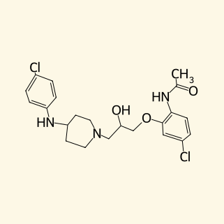 CC(=O)Nc1ccc(Cl)cc1OCC(O)CN1CCC(Nc2ccc(Cl)cc2)CC1